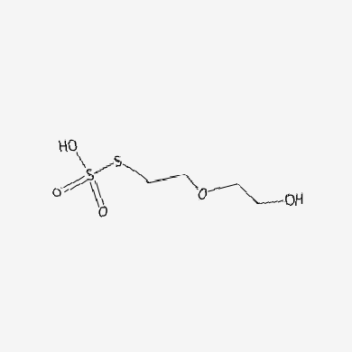 O=S(=O)(O)SCCOCCO